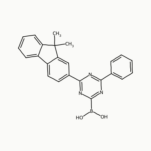 CC1(C)c2ccccc2-c2ccc(-c3nc(B(O)O)nc(-c4ccccc4)n3)cc21